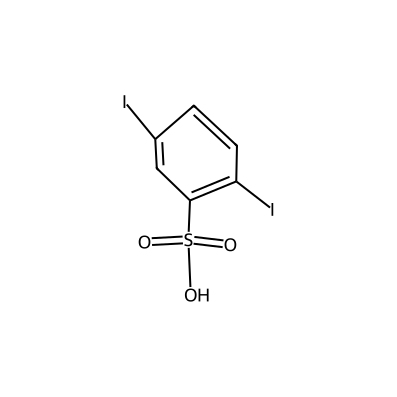 O=S(=O)(O)c1cc(I)ccc1I